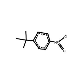 CC(C)(C)c1ccc([PH](=O)Cl)cc1